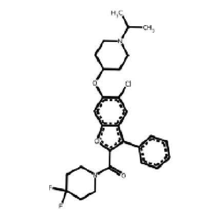 CC(C)N1CCC(Oc2cc3oc(C(=O)N4CCC(F)(F)CC4)c(-c4ccccc4)c3cc2Cl)CC1